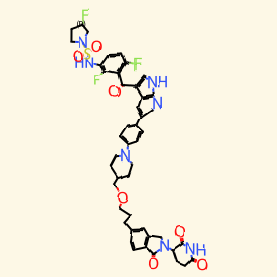 O=C1CCC(N2Cc3cc(CCCOCC4CCN(c5ccc(-c6cnc7[nH]cc(C(=O)c8c(F)ccc(NS(=O)(=O)N9CC[C@@H](F)C9)c8F)c7c6)cc5)CC4)ccc3C2=O)C(=O)N1